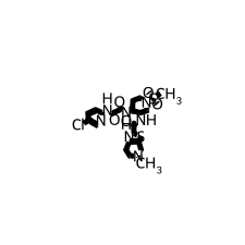 CN1CCc2nc(C(=O)N[C@@H]3CN(S(C)(=O)=O)CC[C@@H]3NC(=O)C(=O)Nc3ccc(Cl)cn3)sc2C1